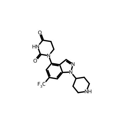 O=C1CCN(c2cc(C(F)(F)F)cc3c2cnn3C2CCNCC2)C(=O)N1